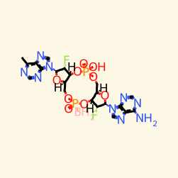 B[P@@]1(=O)OC[C@H]2O[C@@H](n3cnc4c(C)ncnc43)[C@H](F)[C@@H]2OP(=O)(O)OC[C@H]2O[C@@H](n3cnc4c(N)ncnc43)[C@H](F)[C@@H]2O1